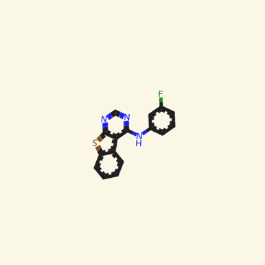 Fc1cccc(Nc2ncnc3sc4ccccc4c23)c1